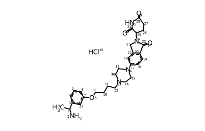 CC(N)c1cccc(OCCCCN2CCN(c3ccc4c(c3)CN(C3CCC(=O)NC3=O)C4=O)CC2)c1.Cl